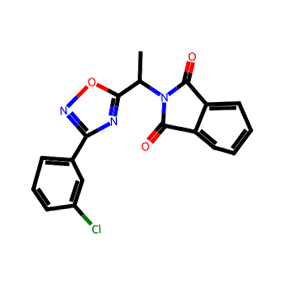 CC(c1nc(-c2cccc(Cl)c2)no1)N1C(=O)c2ccccc2C1=O